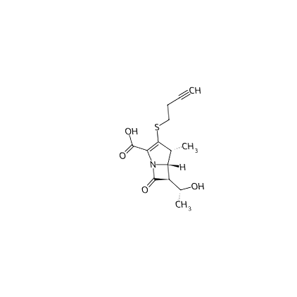 C#CCCSC1=C(C(=O)O)N2C(=O)[C@H]([C@@H](C)O)[C@H]2[C@H]1C